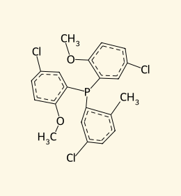 COc1ccc(Cl)cc1P(c1cc(Cl)ccc1C)c1cc(Cl)ccc1OC